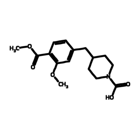 COC(=O)c1ccc(CC2CCN(C(=O)O)CC2)cc1OC